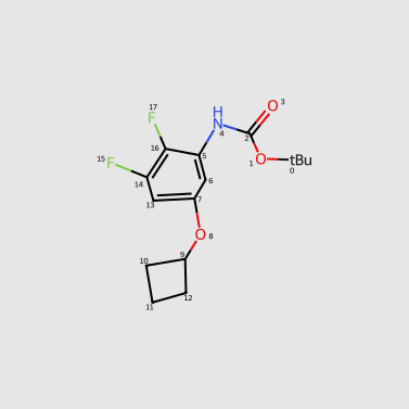 CC(C)(C)OC(=O)Nc1cc(OC2CCC2)cc(F)c1F